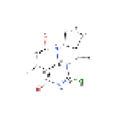 CC[C@H]1CCC[C@H]1n1c(=O)cc(C)c2c(Br)nc(Cl)nc21